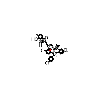 COc1ccc(C2=N[C@@H](c3ccc(Cl)cc3)[C@@H](c3ccc(Cl)cc3)N2C(=O)N2CCN(CCNC(=O)c3ccc(C)c(O)c3O)CC2)c(OC(C)C)c1